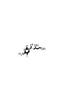 CO[C@H](C[C@@H](O)CCO)n1cc(I)c(N)nc1=O